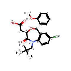 COc1ccccc1[C@H]1O[C@H](CC(=O)O)C(=O)N(CC(C)(C)C)c2ccc(Cl)cc21